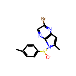 Cc1ccc([S+]([O-])n2c(C)cc3nc(Br)cnc32)cc1